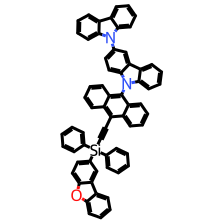 C(#C[Si](c1ccccc1)(c1ccccc1)c1ccc2oc3ccccc3c2c1)c1c2ccccc2c(-n2c3ccccc3c3cc(-n4c5ccccc5c5ccccc54)ccc32)c2ccccc12